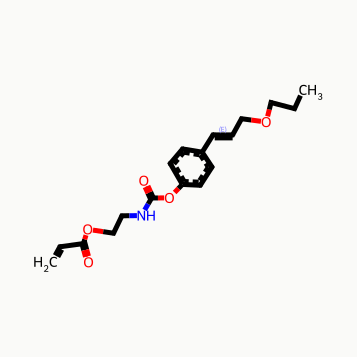 C=CC(=O)OCCNC(=O)Oc1ccc(/C=C/COCCC)cc1